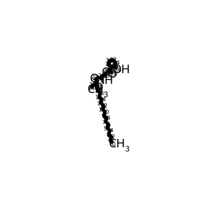 CCC=CCC=CCC=CCC=CCC=CCCOC(CC)C(=O)NCCOC(=O)c1ccccc1O